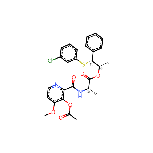 COc1ccnc(C(=O)N[C@@H](C)C(=O)O[C@@H](C)[C@H](Sc2cccc(Cl)c2)c2ccccc2)c1OC(C)=O